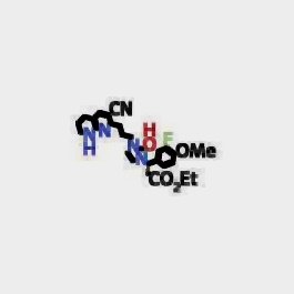 CCOC(=O)C[C@@H](c1ccc(OC)c(F)c1)N1CCN(CCCc2nc3c(cc2C#N)CCCN3)C1O